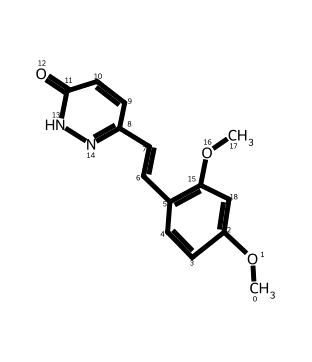 COc1ccc(/C=C/c2ccc(=O)[nH]n2)c(OC)c1